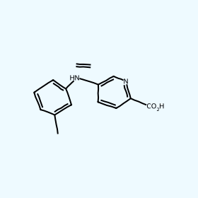 C=C.Cc1cccc(Nc2ccc(C(=O)O)nc2)c1